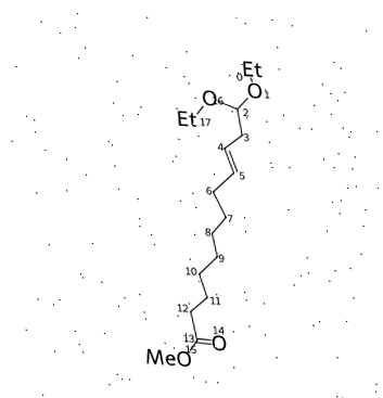 CCOC(CC=CCCCCCCCC(=O)OC)OCC